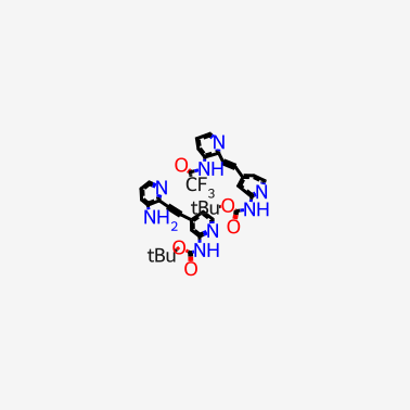 CC(C)(C)OC(=O)Nc1cc(C#Cc2ncccc2N)ccn1.CC(C)(C)OC(=O)Nc1cc(C#Cc2ncccc2NC(=O)C(F)(F)F)ccn1